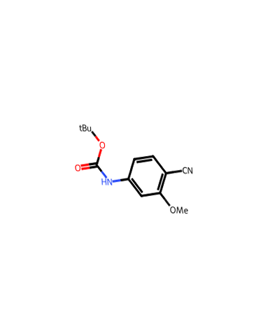 COc1cc(NC(=O)OC(C)(C)C)ccc1C#N